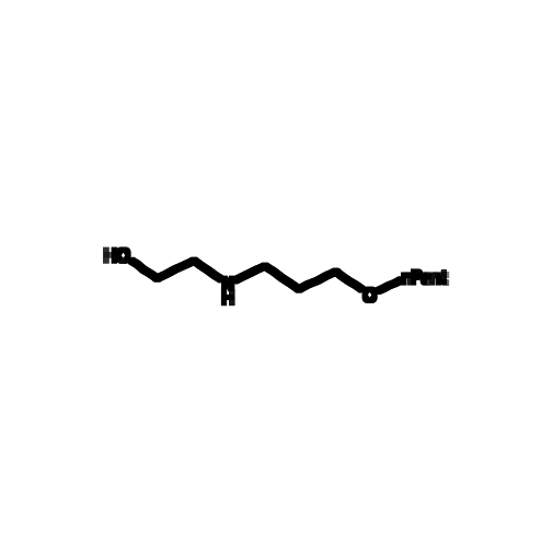 CCCCCOCCCNCCO